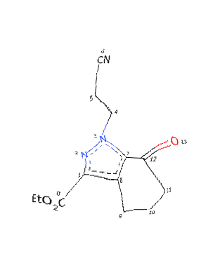 CCOC(=O)c1nn(CCC#N)c2c1CCCC2=O